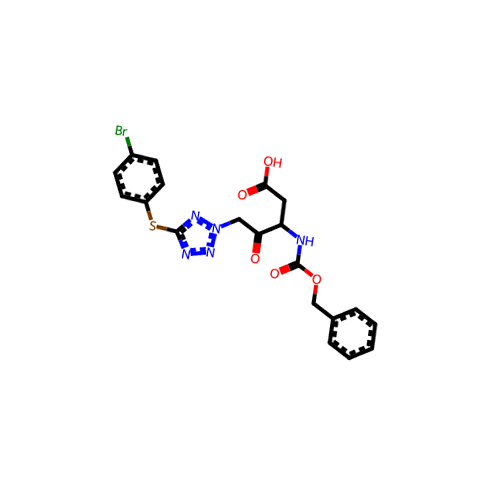 O=C(O)CC(NC(=O)OCc1ccccc1)C(=O)Cn1nnc(Sc2ccc(Br)cc2)n1